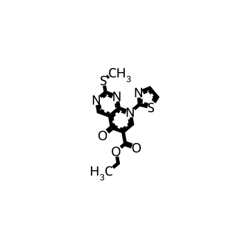 CCOC(=O)c1cn(-c2nccs2)c2nc(SC)ncc2c1=O